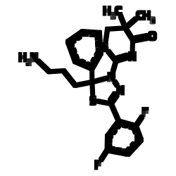 CC1(C)CSC(N2N=C(c3cc(F)ccc3F)SC2(CCCN)c2ccccc2)=NC1=O